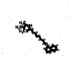 CC(C)C(C)NC(=S)C=CC=CCCCCOc1cccc2ccccc12